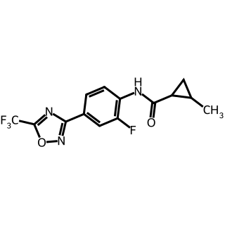 CC1CC1C(=O)Nc1ccc(-c2noc(C(F)(F)F)n2)cc1F